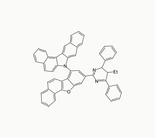 CCC1C(c2ccccc2)=NC(c2cc(-n3c4cc5ccccc5cc4c4c5ccccc5ccc43)c3c(c2)oc2c4ccccc4ccc23)=NC1c1ccccc1